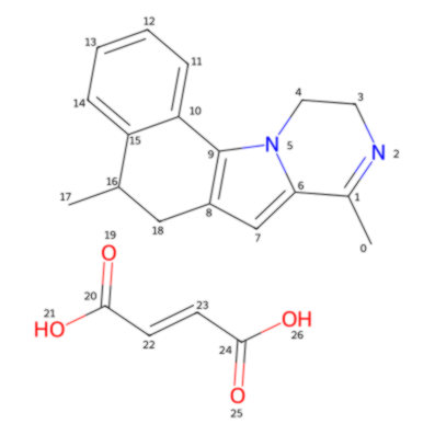 CC1=NCCn2c1cc1c2-c2ccccc2C(C)C1.O=C(O)C=CC(=O)O